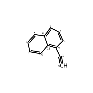 C#Cc1cccc2ccc[c]c12